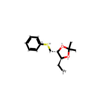 CC(C)C[C@@H]1OC(C)(C)O[C@H]1CSc1ccccc1